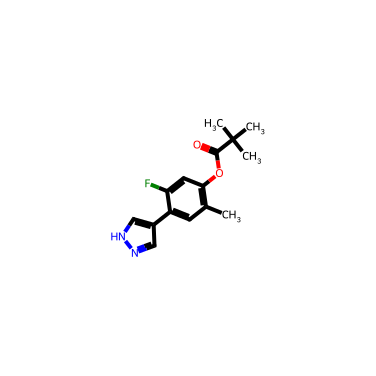 Cc1cc(-c2cn[nH]c2)c(F)cc1OC(=O)C(C)(C)C